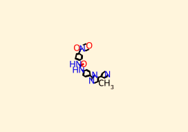 Cc1cnc(-c2ccc(NC(=O)Nc3ccc(C(=O)N4CCOCC4)cc3)cc2)nc1-c1ccncc1